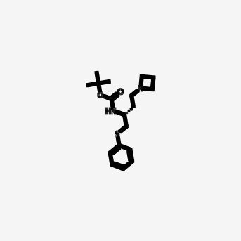 CC(C)(C)OC(=O)N[C@H](CCN1CCC1)CSc1ccccc1